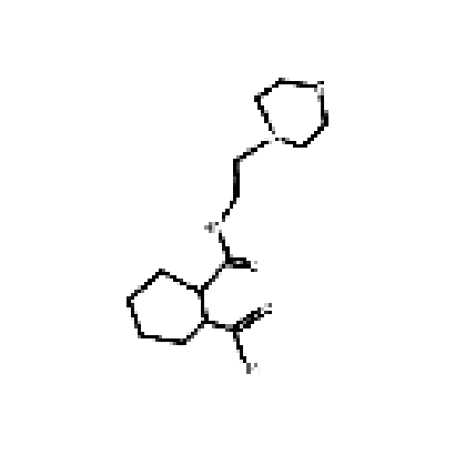 CC(C)C(=O)C1CCCCC1C(=O)NCCN1CCOCC1